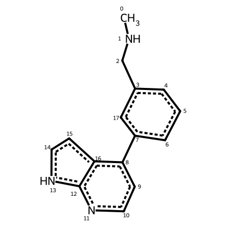 CNCc1cccc(-c2ccnc3[nH]ccc23)c1